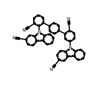 N#Cc1ccc2c(c1)c1ccccc1n2-c1ccc(C#N)c(-c2ccc(-c3cccc(C#N)c3-n3c4ccccc4c4ccc(C#N)cc43)cc2)c1